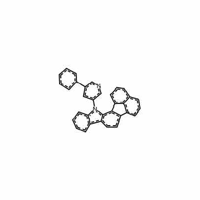 c1ccc(-c2cncc(-n3c4ccccc4c4ccc5c(c43)-c3cccc4cccc-5c34)c2)cc1